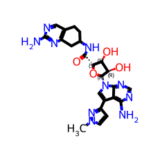 Cn1ccc(-c2cn([C@@H]3O[C@H](C(=O)NC4CCc5cnc(N)nc5C4)[C@@H](O)[C@H]3O)c3ncnc(N)c23)n1